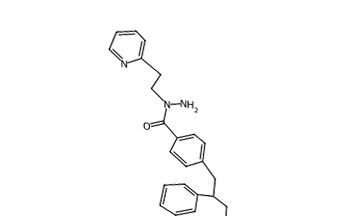 NN(CCc1ccccn1)C(=O)c1ccc(CC(CC(=O)O)c2ccccc2)cc1